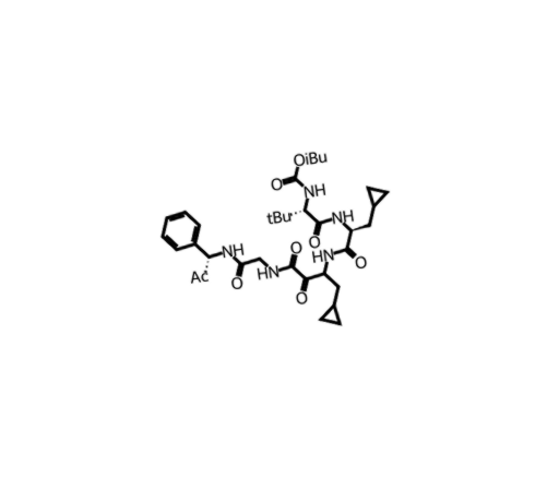 CC(=O)[C@@H](NC(=O)CNC(=O)C(=O)C(CC1CC1)NC(=O)[C@H](CC1CC1)NC(=O)[C@@H](NC(=O)OCC(C)C)C(C)(C)C)c1ccccc1